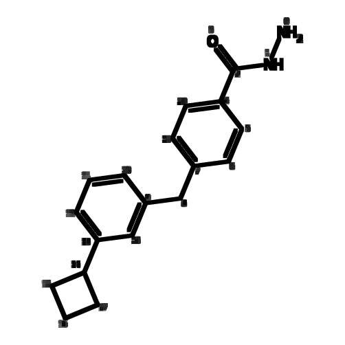 NNC(=O)c1ccc(Cc2cccc(C3CCC3)c2)cc1